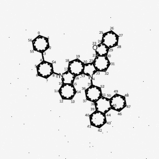 c1ccc(-c2cccc(-n3c4ccccc4c4c3ccc3c5c6oc7ccccc7c6ccc5n(-c5ccc6c7ccccc7c7ccccc7c6c5)c34)c2)cc1